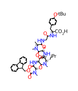 CC(C)C[C@H](NC(=O)[C@H](C)N(C)C(=O)OCC1c2ccccc2-c2ccccc21)C(=O)N(C)[C@@H](CC(C)C)C(=O)N[C@@H](C)C(=O)N(C)[C@@H](C)C(=O)NCC(=O)N[C@@H](Cc1ccc(OC(C)(C)C)cc1)C(=O)O